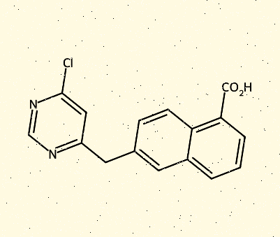 O=C(O)c1cccc2cc(Cc3cc(Cl)ncn3)ccc12